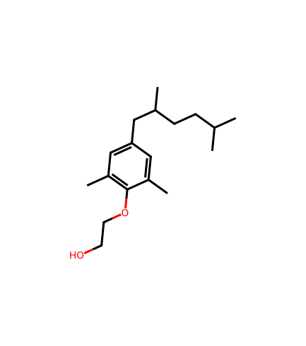 Cc1cc(CC(C)CCC(C)C)cc(C)c1OCCO